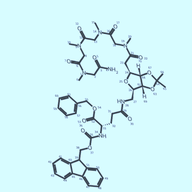 CN(CC(N)=O)C(=O)CN(C)C(=O)CN(C)C(=O)CN(C)C(=O)C[C@@H]1O[C@H](CNC(=O)CC[C@H](NC(=O)OCC2c3ccccc3-c3ccccc32)C(=O)OCc2ccccc2)[C@H]2OC(C)(C)O[C@H]21